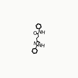 O=C(CCc1c[nH]c(-c2ccccc2)n1)Nc1ccccc1